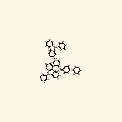 C1=Cc2c(n(-c3ccccc3)c3cccc(N(c4ccc(-c5ccccc5)cc4)c4ccc(-c5ccc6c7ccccc7n(-c7ccccc7)c6c5)cc4)c23)CC1